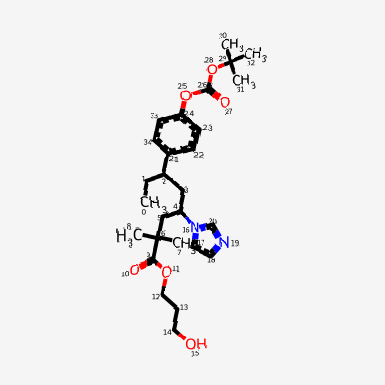 CCC(CC(CC(C)(C)C(=O)OCCCO)n1ccnc1)c1ccc(OC(=O)OC(C)(C)C)cc1